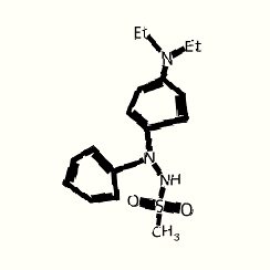 CCN(CC)c1ccc(N(NS(C)(=O)=O)c2ccccc2)cc1